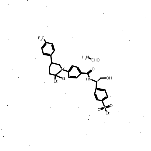 CCC1(CC)CCC(c2ccc(C(F)(F)F)cc2)CN1c1ccc(C(=O)N[C@@H](CO)c2ccc(S(=O)(=O)CC)cc2)cc1.NC=O